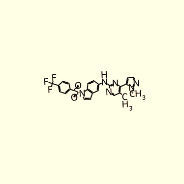 Cc1cnc(Nc2ccc3c(ccn3S(=O)(=O)c3ccc(C(F)(F)F)cc3)c2)nc1-c1ccnn1C